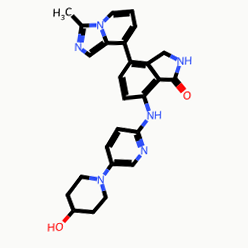 Cc1ncc2c(-c3ccc(Nc4ccc(N5CCC(O)CC5)cn4)c4c3CNC4=O)cccn12